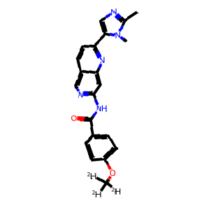 [2H]C([2H])([2H])Oc1ccc(C(=O)Nc2cc3nc(-c4cnc(C)n4C)ccc3cn2)cc1